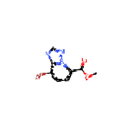 COC(=O)c1ccc(Br)c2ncnn12